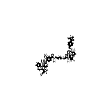 CC[C@@H]1c2c(C#N)ncn2-c2cnc(Nc3ccc(C(=O)NCCCCOCC(=O)N[C@H](C(=O)N4CCC[C@H]4C(=O)NCc4ccc(-c5scnc5C)cc4)C(C)(C)C)cc3OC)nc2N1C1CCCC1